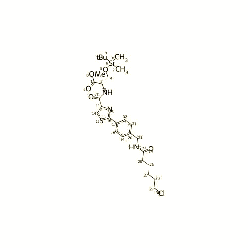 COC(=O)[C@H](CO[Si](C)(C)C(C)(C)C)NC(=O)c1csc(-c2ccc(CNC(=O)CCCCCCl)cc2)n1